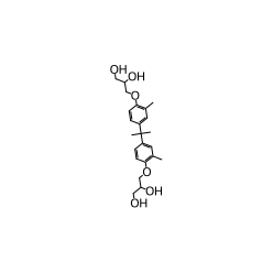 Cc1cc(C(C)(C)c2ccc(OCC(O)CO)c(C)c2)ccc1OCC(O)CO